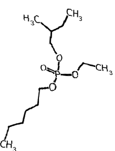 CCCCCCOP(=O)(OCC)OCC(C)CC